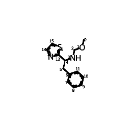 COCN[C@@H](Cc1ccccc1)c1nccs1